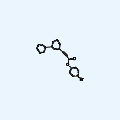 O=C(C#Cc1cccc(-c2ccccc2)c1)Oc1ccc(Br)cc1